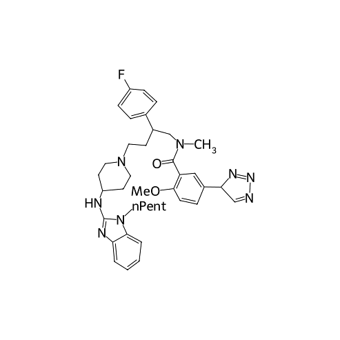 CCCCCn1c(NC2CCN(CCC(CN(C)C(=O)c3cc(C4C=NN=N4)ccc3OC)c3ccc(F)cc3)CC2)nc2ccccc21